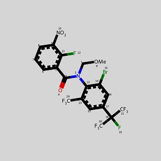 COCN(C(=O)c1cccc([N+](=O)[O-])c1F)c1c(Br)cc(C(F)(C(F)(F)F)C(F)(F)F)cc1C(F)(F)F